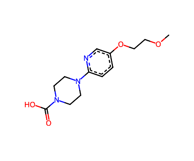 COCCOc1ccc(N2CCN(C(=O)O)CC2)nc1